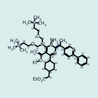 C=C(OCC)C1=C(N(COCC[Si](C)(C)C)COCC[Si](C)(C)C)N(N)/C(=C(\C)c2ccc(-c3ccccc3)nc2)N=C1C1CCC(CC(=O)OCC)CC1